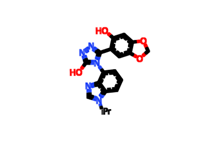 CC(C)n1cnc2c(-n3c(O)nnc3-c3cc4c(cc3O)OCO4)cccc21